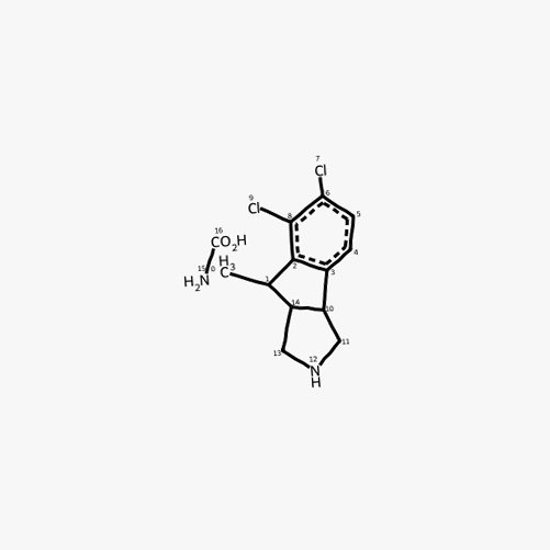 CC1c2c(ccc(Cl)c2Cl)C2CNCC12.NC(=O)O